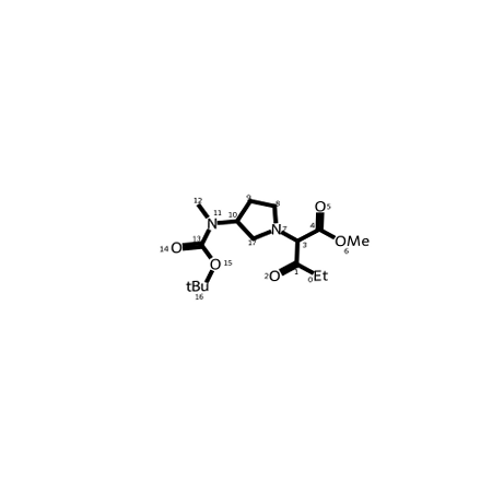 CCC(=O)C(C(=O)OC)N1CCC(N(C)C(=O)OC(C)(C)C)C1